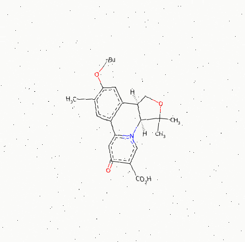 CCCCOc1cc2c(cc1C)-c1cc(=O)c(C(=O)O)cn1[C@H]1[C@@H]2COC1(C)C